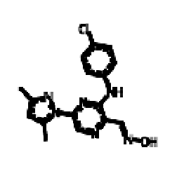 Cc1cc(C)n(-c2cnc(C=NO)c(Nc3ccc(Cl)cc3)n2)n1